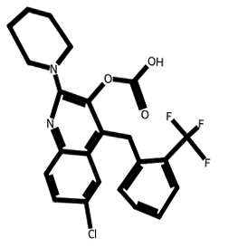 O=C(O)Oc1c(N2CCCCC2)nc2ccc(Cl)cc2c1Cc1ccccc1C(F)(F)F